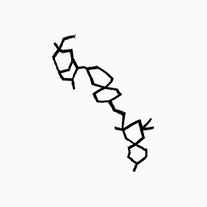 CC1CCC2(CC1)CC(C)(C)CC(C)(CCC1CCC3(CCCC(C4C(C)CC5CC4CC(C)(CI)C5)C3)CC1)C2